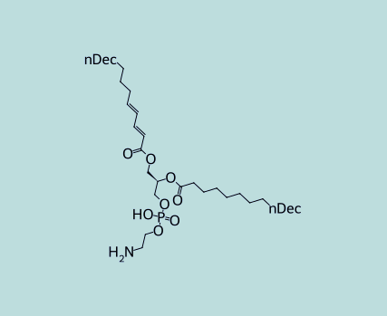 CCCCCCCCCCCCCC=CC=CC(=O)OC[C@H](COP(=O)(O)OCCN)OC(=O)CCCCCCCCCCCCCCCCC